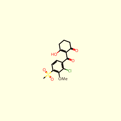 COc1c(S(C)(=O)=O)ccc(C(=O)C2=C(O)CCCC2=O)c1Cl